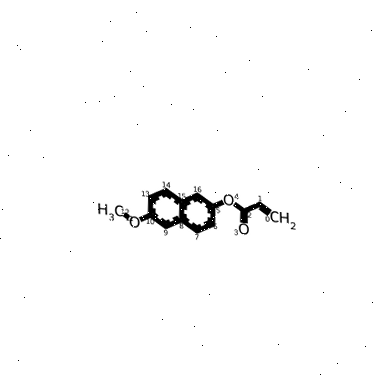 C=CC(=O)Oc1ccc2cc(OC)ccc2c1